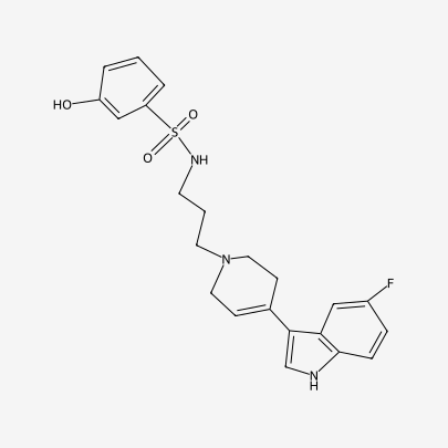 O=S(=O)(NCCCN1CC=C(c2c[nH]c3ccc(F)cc23)CC1)c1cccc(O)c1